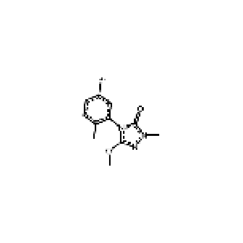 COc1nn(C)c(=O)n1-c1cc(Br)ccc1C